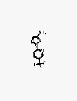 Nc1cnn(-c2ccc(C(F)(F)F)cn2)n1